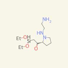 CCO[SiH](CC(=O)[C@@H]1CCCN1NCCN)OCC